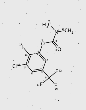 CN(C)C(=O)Oc1cc(C(F)(F)F)cc(Cl)c1I